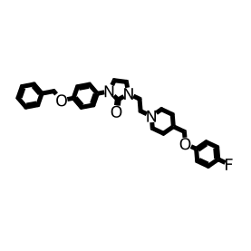 O=C1N(CCN2CCC(COc3ccc(F)cc3)CC2)CCN1c1ccc(OCc2ccccc2)cc1